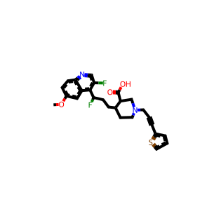 COc1ccc2ncc(F)c(C(F)CCC3CCN(CC#Cc4cccs4)CC3C(=O)O)c2c1